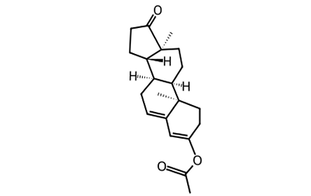 CC(=O)OC1=CC2=CC[C@@H]3[C@@H](CC[C@]4(C)C(=O)CC[C@@H]34)[C@@]2(C)CC1